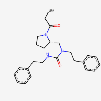 CC(C)(C)CC(=O)N1CCC[C@H]1CN(CCc1ccccc1)C(=O)NCCc1ccccc1